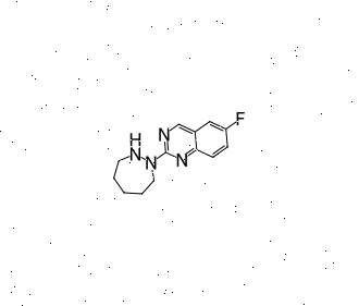 Fc1ccc2nc(N3CCCCCN3)ncc2c1